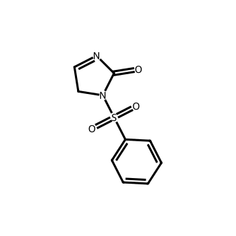 O=C1N=CCN1S(=O)(=O)c1ccccc1